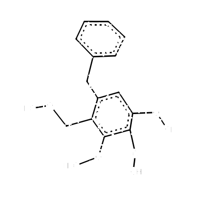 COCc1c(Cc2ccccc2)cc(OC)c(OC)c1OC